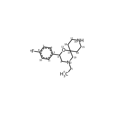 CCN1CC(c2ccc(F)cc2)OC2(CCNCC2)C1